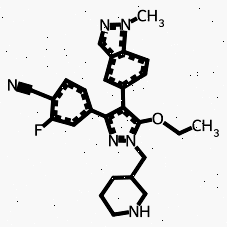 CCOc1c(-c2ccc3c(cnn3C)c2)c(-c2ccc(C#N)c(F)c2)nn1CC1CCCNC1